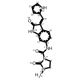 CN1CCN(C(=O)Nc2ccc3c(c2)NC(=O)C3=Cc2ccc[nH]2)C1=O